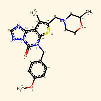 COc1ccc(Cn2c(=O)n3ncnc3c3c(C)c(CN4CCOC(C)C4)sc32)cc1